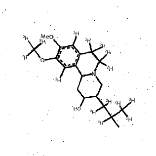 [2H]c1c(OC([2H])([2H])[2H])c(OC)c([2H])c2c1C1CC(O)C(C([2H])([2H])C([2H])(C)C([2H])([2H])[2H])CN1C([2H])([2H])C2([2H])[2H]